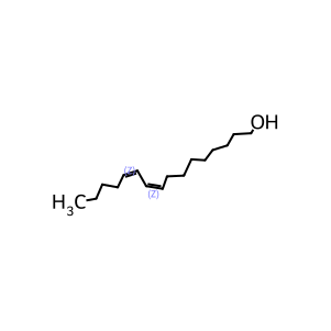 CCCC/C=C\C=C/CCCCCCCCO